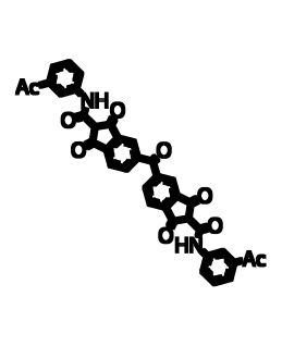 CC(=O)c1cccc(NC(=O)C2C(=O)c3ccc(C(=O)c4ccc5c(c4)C(=O)C(C(=O)Nc4cccc(C(C)=O)c4)C5=O)cc3C2=O)c1